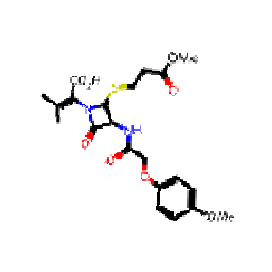 COC(=O)CCSC1C(NC(=O)COc2ccc(OC)cc2)C(=O)N1C(C(=O)O)=C(C)C